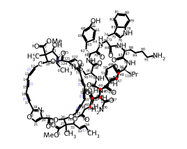 C/C=C/C(O)C(C)(C(=O)OC)C1C\C=C/C=C/C=C/c2nc(co2)C(=O)OC(C(C)(C(=O)OC)C(/C=C/C)OC(=O)CCC(=O)N[C@H](Cc2ccccc2)C(=O)N[C@@H](CS)C(=O)N[C@H](Cc2ccc(O)cc2)C(=O)N[C@H](Cc2c[nH]c3ccccc23)C(=O)N[C@@H](CCCCN)C(=O)N[C@H](C(=O)NCC(=O)N[C@@H](C(N)=O)C(C)O)C(C)C)C\C=C/C=C/C=C/c2nc(co2)C(=O)O1